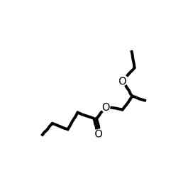 CCCCC(=O)OCC(C)OCC